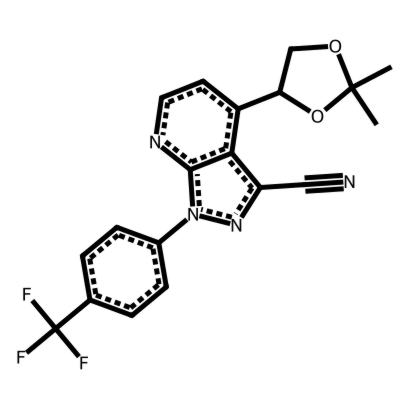 CC1(C)OCC(c2ccnc3c2c(C#N)nn3-c2ccc(C(F)(F)F)cc2)O1